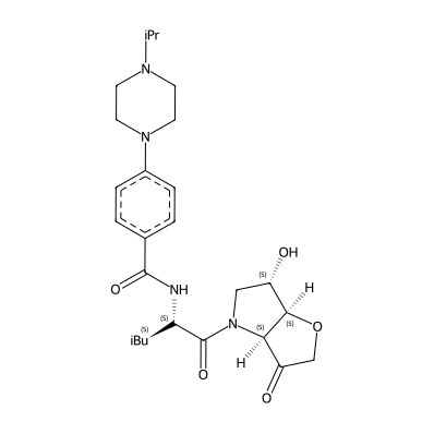 CC[C@H](C)[C@H](NC(=O)c1ccc(N2CCN(C(C)C)CC2)cc1)C(=O)N1C[C@H](O)[C@H]2OCC(=O)[C@H]21